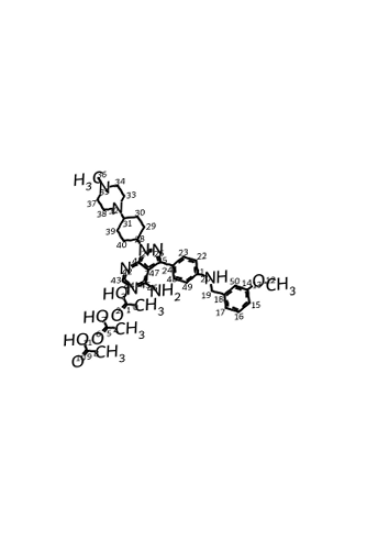 CC(=O)O.CC(=O)O.CC(=O)O.COc1cccc(CNc2ccc(-c3nn(C4CCC(N5CCN(C)CC5)CC4)c4ncnc(N)c34)cc2)c1